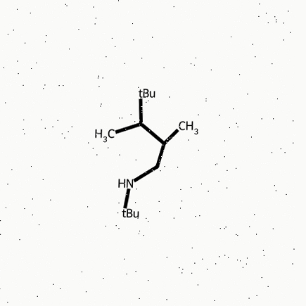 CC(CNC(C)(C)C)C(C)C(C)(C)C